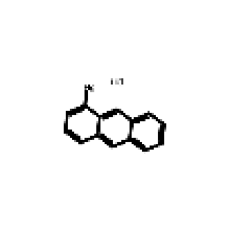 Cl.[Hg][c]1cccc2cc3ccccc3cc12